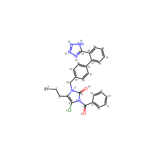 CC(C)CCc1c(Cl)n(C(=O)c2ccccc2)c(=O)n1Cc1ccc(-c2ccccc2-c2nnn[nH]2)cc1